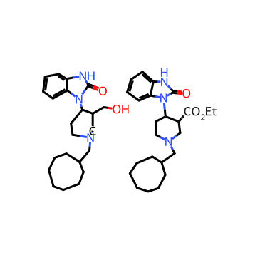 CCOC(=O)C1CN(CC2CCCCCCC2)CCC1n1c(=O)[nH]c2ccccc21.O=c1[nH]c2ccccc2n1C1CCN(CC2CCCCCCC2)CC1CO